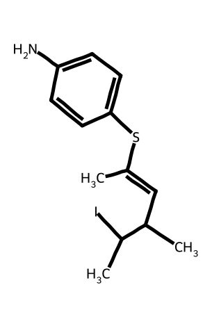 C/C(=C\C(C)C(C)I)Sc1ccc(N)cc1